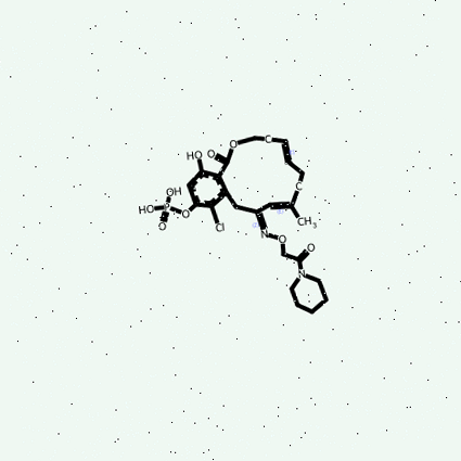 C/C1=C\C(=N/OCC(=O)N2CCCCC2)Cc2c(Cl)c(OP(=O)(O)O)cc(O)c2C(=O)OCC/C=C/CC1